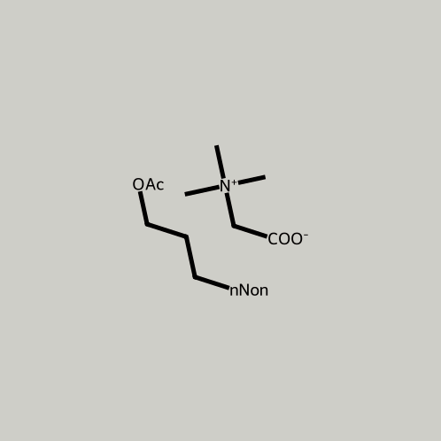 CCCCCCCCCCCCOC(C)=O.C[N+](C)(C)CC(=O)[O-]